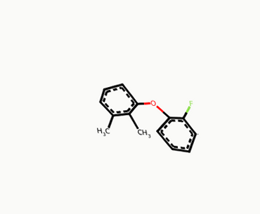 Cc1cccc(Oc2ccc[c]c2F)c1C